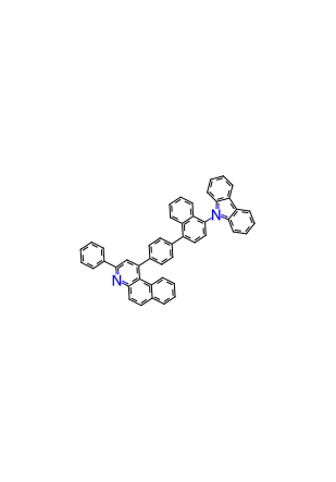 c1ccc(-c2cc(-c3ccc(-c4ccc(-n5c6ccccc6c6ccccc65)c5ccccc45)cc3)c3c(ccc4ccccc43)n2)cc1